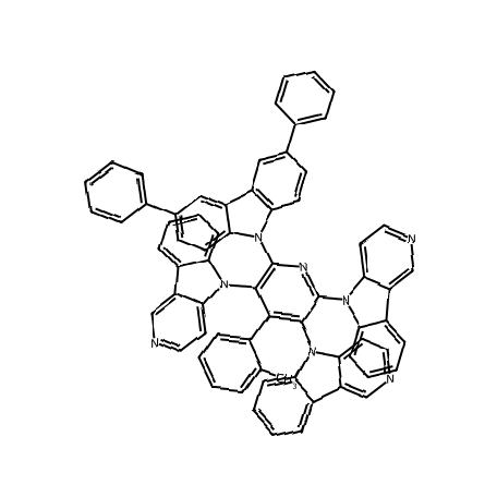 Cc1ccccc1-c1c(-n2c3ccccc3c3cnccc32)c(-n2c3ccccc3c3cnccc32)nc(-n2c3ccc(-c4ccccc4)cc3c3cc(-c4ccccc4)ccc32)c1-n1c2ccccc2c2cnccc21